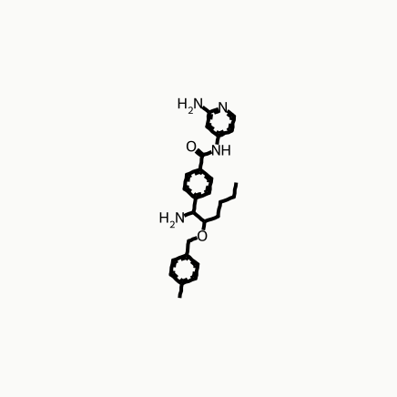 CCCCC(OCc1ccc(C)cc1)C(N)c1ccc(C(=O)Nc2ccnc(N)c2)cc1